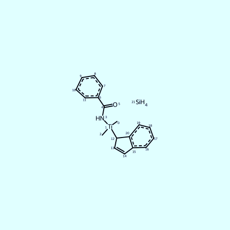 [CH3][Ti]([CH3])([NH]C(=O)c1ccccc1)[CH]1C=Cc2ccccc21.[SiH4]